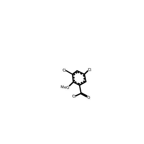 COc1c(Cl)cc(Cl)cc1C(=O)Cl